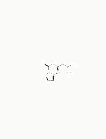 CC(C)Cc1nc2ccnn2c(=O)[nH]1